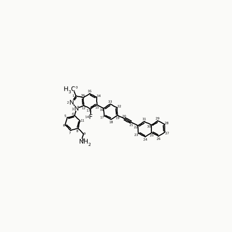 Cc1nn(-c2cccc(CN)c2)c2c(F)c(-c3ccc(C#Cc4ccc5ccccc5c4)cc3)ccc12